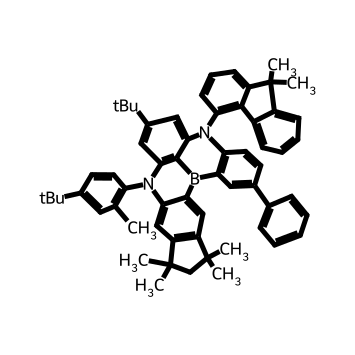 Cc1cc(C(C)(C)C)ccc1N1c2cc3c(cc2B2c4cc(-c5ccccc5)ccc4N(c4cccc5c4-c4ccccc4C5(C)C)c4cc(C(C)(C)C)cc1c42)C(C)(C)CC3(C)C